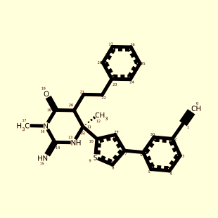 C#Cc1cccc(-c2csc([C@@]3(C)NC(=N)N(C)C(=O)C3CCc3ccccc3)c2)c1